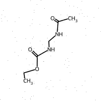 CCOC(=O)NCNC(C)=O